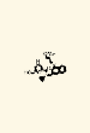 COCCCOc1cc(CN(C(=O)[C@H]2CNC[C@@H](CO)O2)C2CC2)cc2ccccc12